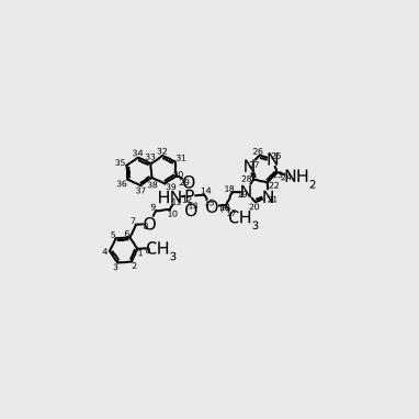 Cc1ccccc1COCCNP(=O)(CO[C@H](C)Cn1cnc2c(N)ncnc21)Oc1ccc2ccccc2c1